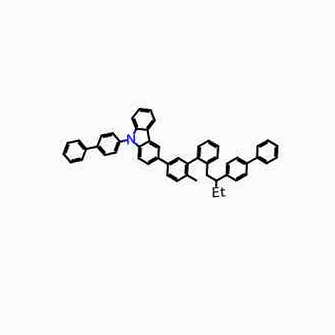 CCC(Cc1ccccc1-c1cc(-c2ccc3c(c2)c2ccccc2n3-c2ccc(-c3ccccc3)cc2)ccc1C)c1ccc(-c2ccccc2)cc1